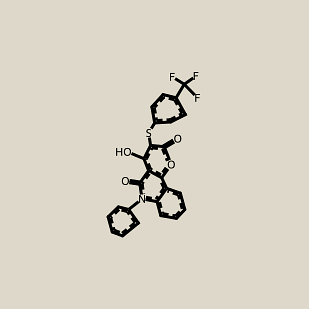 O=c1oc2c(c(O)c1Sc1ccc(C(F)(F)F)cc1)c(=O)n(-c1ccccc1)c1ccccc21